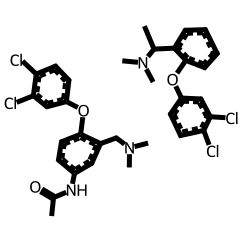 CC(=O)Nc1ccc(Oc2ccc(Cl)c(Cl)c2)c(CN(C)C)c1.CC(c1ccccc1Oc1ccc(Cl)c(Cl)c1)N(C)C